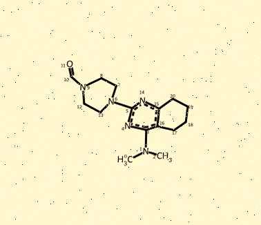 CN(C)c1nc(N2CCN(C=O)CC2)nc2c1CCCC2